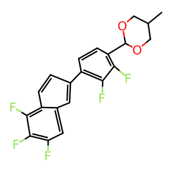 CC1COC(c2ccc(-c3ccc4c(F)c(F)c(F)cc4c3)c(F)c2F)OC1